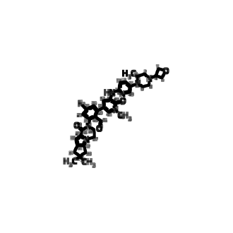 C[C@H]1CN(C2COC2)CCN1c1ccc(Nc2cc(-c3cc(F)cc(N4CCn5c(cc6c5CC(C)(C)C6)C4=O)c3C=O)cn(C)c2=O)nc1